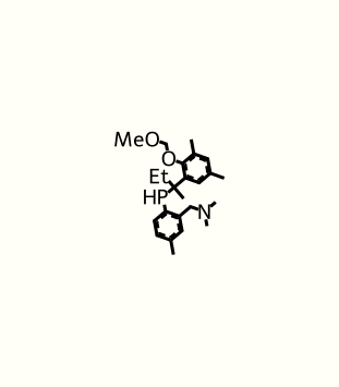 CCC(C)(Pc1ccc(C)cc1CN(C)C)c1cc(C)cc(C)c1OCOC